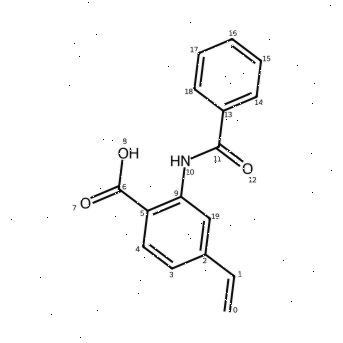 C=Cc1ccc(C(=O)O)c(NC(=O)c2ccccc2)c1